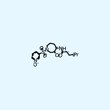 CC(C)C[CH]C(=O)N[C@H]1CCCN(S(=O)(=O)c2ccc[n+]([O-])c2)CC1=O